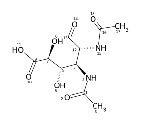 CC(=O)N[C@@H]([C@H](O)[C@H](O)C(=O)O)[C@H](C=O)NC(C)=O